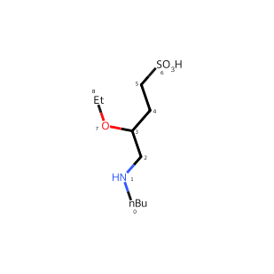 CCCCNCC(CCS(=O)(=O)O)OCC